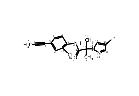 CC#Cc1ccc(NC(=O)C(C)(C)n2cc(I)cn2)c(Cl)c1